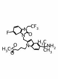 CC(C)(N)c1ccc2c(c1)cc(Cn1c(=O)n(CC(F)(F)F)c3ccc(F)cc31)n2CCCS(C)(=O)=O